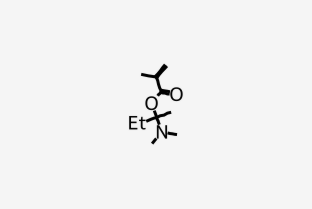 C=C(C)C(=O)OC(C)(CC)N(C)C